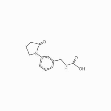 O=C(O)NCc1cccc(N2CCCC2=O)c1